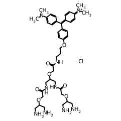 CN(C)c1ccc(C(=C2C=CC(=[N+](C)C)C=C2)c2ccc(OCCCNC(=O)COC(CNC(=O)COC(CN)CN)CNC(=O)COC(CN)CN)cc2)cc1.[Cl-]